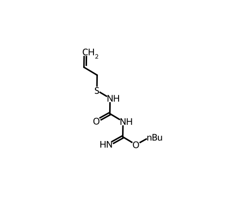 C=CCSNC(=O)NC(=N)OCCCC